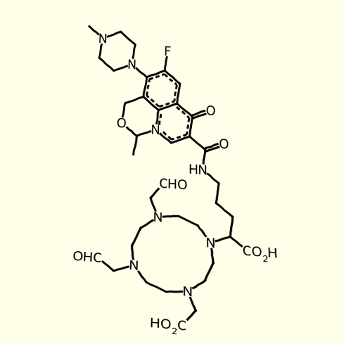 CC1OCc2c(N3CCN(C)CC3)c(F)cc3c(=O)c(C(=O)NCCCC(C(=O)O)N4CCN(CC=O)CCN(CC=O)CCN(CC(=O)O)CC4)cn1c23